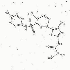 CCCN(CCC)C(=O)Nc1nc(C)c(-c2ccc(C)c(S(=O)(=O)Nc3ccc(O)cc3)c2)s1